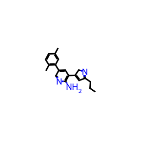 CCCC1=NCC(c2cc(-c3cc(C)ccc3C)cnc2N)=C1